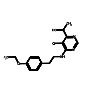 CC(O)c1ncnc(NCCc2ccc(OCC(F)(F)F)cc2)c1Cl